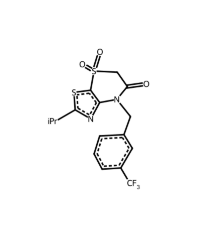 CC(C)c1nc2c(s1)S(=O)(=O)CC(=O)N2Cc1cccc(C(F)(F)F)c1